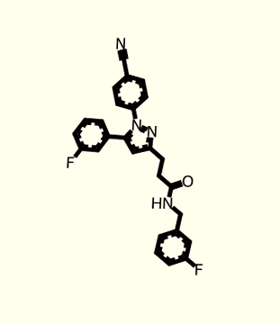 N#Cc1ccc(-n2nc(CCC(=O)NCc3cccc(F)c3)cc2-c2cccc(F)c2)cc1